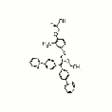 CCOC(CSc1ccc(OCC(=O)O)c(C)c1)=C(c1ccc(-c2ccccn2)cc1)c1ccc(-c2ccccn2)cc1